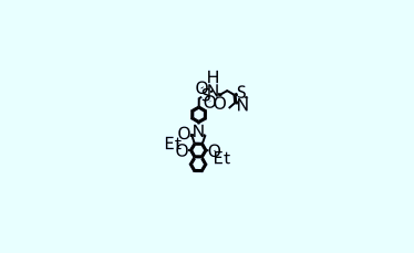 CCOc1c2c(c(OCC)c3ccccc13)C(=O)N(c1ccc(CS(=O)(=O)NC(=O)Cc3scnc3C)cc1)C2